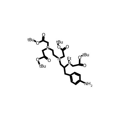 CCN(CC(=O)OC(C)(C)C)C(Cc1ccc(N)cc1)CN(CCN(CC(=O)OC(C)(C)C)CC(=O)OC(C)(C)C)CC(=O)OC(C)(C)C